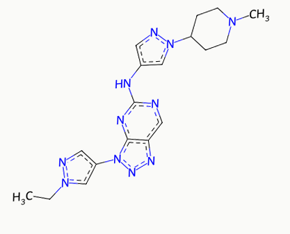 CCn1cc(-n2nnc3cnc(Nc4cnn(C5CCN(C)CC5)c4)nc32)cn1